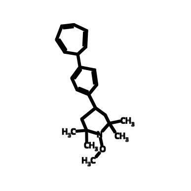 CON1C(C)(C)CC(c2ccc(C3C=CC=CC=C3)cc2)CC1(C)C